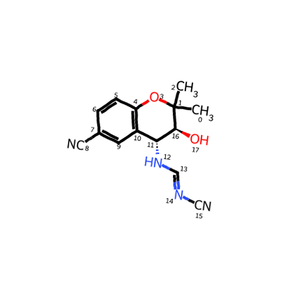 CC1(C)Oc2ccc(C#N)cc2[C@@H](NC=NC#N)[C@@H]1O